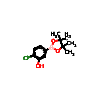 CC1(C)OB(c2ccc(Cl)c(O)c2)OC1(C)C